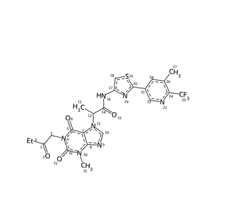 CCC(=O)Cn1c(=O)c2c(ncn2C(C)C(=O)Nc2csc(-c3cnc(C(F)(F)F)c(C)c3)n2)n(C)c1=O